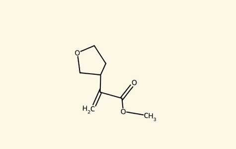 C=C(C(=O)OC)C1CCOC1